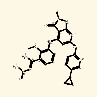 COc1c(Nc2cc(Nc3ccc(C4CC4)cn3)nc3[nH]n(C)c(=O)c23)cccc1/C(N)=N/N(C)N